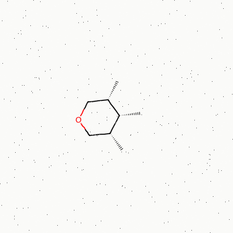 C[C@@H]1[C@H](C)COC[C@@H]1C